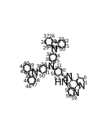 c1cnc2c(c1)C1N=C(c3ccc(N(c4ccc(-n5c6ccccc6c6ccccc65)cc4)c4ccc(-n5c6ccccc6c6ccccc65)cc4)cc3)NC1c1cccnc1-2